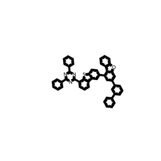 c1ccc(-c2cccc(-c3cc(-c4ccc5sc6c(-c7nc(-c8ccccc8)nc(-c8ccccc8)n7)cccc6c5c4)c4c(c3)oc3ccccc34)c2)cc1